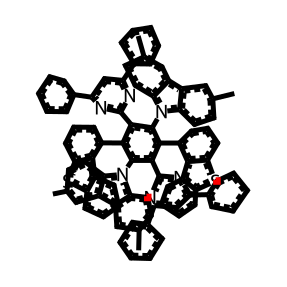 Cc1ccc2c(c1)c1cc(C)ccc1n2-c1c(-c2nc(-c3ccccc3)cc(-c3ccccc3)n2)c(-c2cccc3sc4ccccc4c23)c(-n2c3ccc(C)cc3c3cc(C)ccc32)c(-c2nc(-c3ccccc3)cc(-c3ccccc3)n2)c1-c1cccc2sc3ccccc3c12